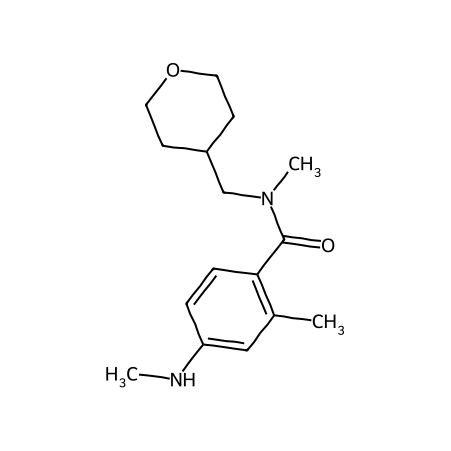 CNc1ccc(C(=O)N(C)CC2CCOCC2)c(C)c1